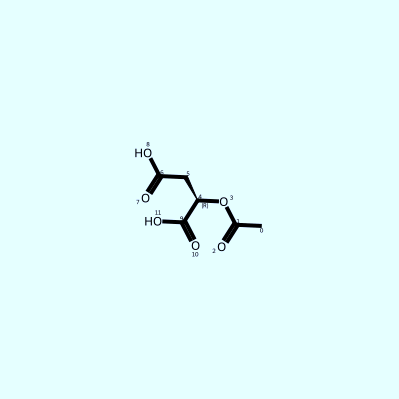 CC(=O)O[C@H](CC(=O)O)C(=O)O